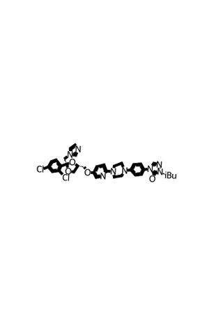 CC[C@@H](C)n1ncn(-c2ccc(N3CCN(c4ccc(OC[C@@H]5CO[C@@](Cn6ccnc6)(c6ccc(Cl)cc6Cl)O5)cn4)CC3)cc2)c1=O